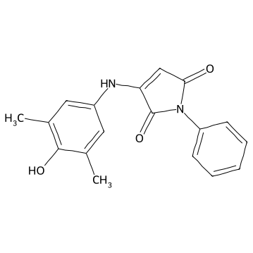 Cc1cc(NC2=CC(=O)N(c3ccccc3)C2=O)cc(C)c1O